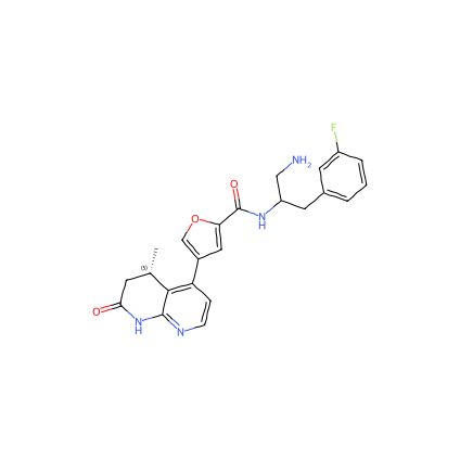 C[C@H]1CC(=O)Nc2nccc(-c3coc(C(=O)NC(CN)Cc4cccc(F)c4)c3)c21